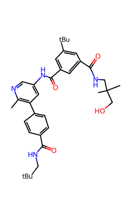 Cc1ncc(NC(=O)c2cc(C(=O)NCC(C)(C)CO)cc(C(C)(C)C)c2)cc1-c1ccc(C(=O)NCC(C)(C)C)cc1